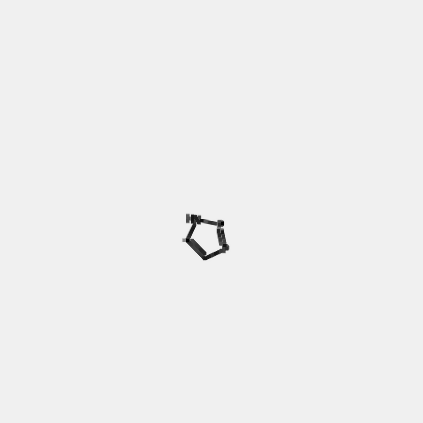 [c]1cpp[nH]1